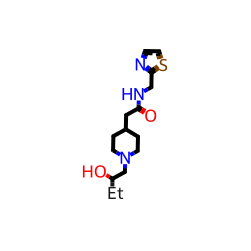 CCC(O)CN1CCC(CC(=O)NCc2nccs2)CC1